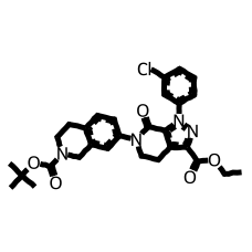 CCOC(=O)c1nn(-c2cccc(Cl)c2)c2c1CCN(c1ccc3c(c1)CN(C(=O)OC(C)(C)C)CC3)C2=O